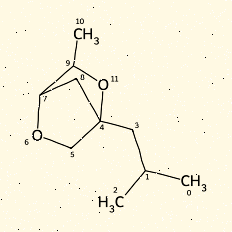 CC(C)CC12COC(C1)C(C)O2